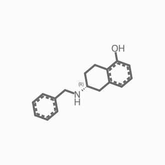 Oc1cccc2c1CC[C@@H](NCc1ccccc1)C2